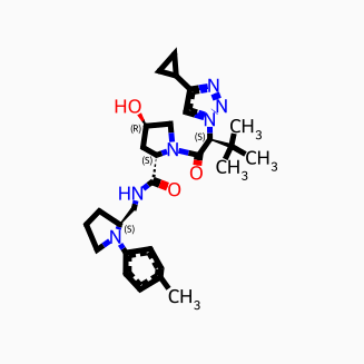 Cc1ccc(N2CCC[C@H]2CNC(=O)[C@@H]2C[C@@H](O)CN2C(=O)[C@@H](n2cc(C3CC3)nn2)C(C)(C)C)cc1